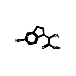 COC(=O)C(C)[C@@H]1CCc2cc(O)ccc21